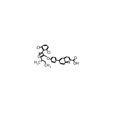 CCC(C)c1onc(-c2c(Cl)cccc2Cl)c1COc1ccc(-c2ccc3nc(C(=O)O)ccc3c2)cc1